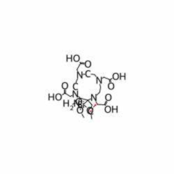 CCCC1([Si](OC)(OC)OC)C(N)N(CC(=O)O)CCN(CC(=O)O)CCN(CC(=O)O)CCN1CC(=O)O